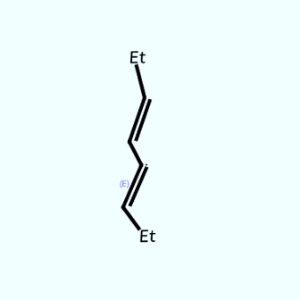 [CH2]C/C=[C]/C=CCC